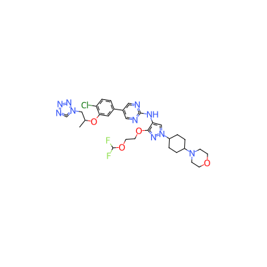 CC(Cn1cnnn1)Oc1cc(-c2cnc(Nc3cn(C4CCC(N5CCOCC5)CC4)nc3OCCOC(F)F)nc2)ccc1Cl